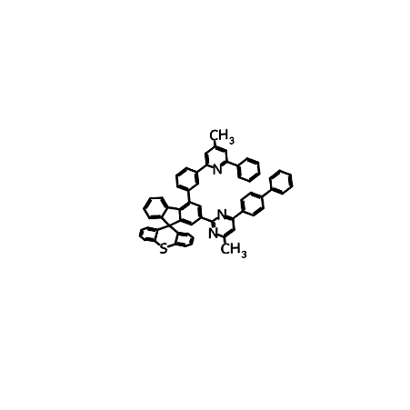 Cc1cc(-c2ccccc2)nc(-c2cccc(-c3cc(-c4nc(C)cc(-c5ccc(-c6ccccc6)cc5)n4)cc4c3-c3ccccc3C43c4ccccc4Sc4ccccc43)c2)c1